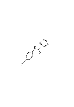 Cc1ccc(NC(=O)c2cnccn2)cc1